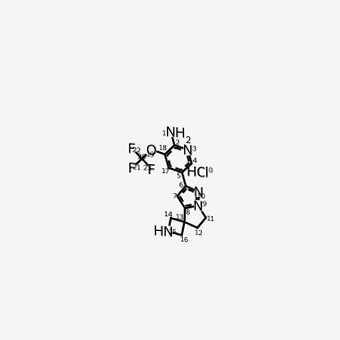 Cl.Nc1ncc(-c2cc3n(n2)CCC32CNC2)cc1OC(F)(F)F